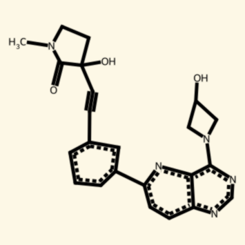 CN1CCC(O)(C#Cc2cccc(-c3ccc4ncnc(N5CC(O)C5)c4n3)c2)C1=O